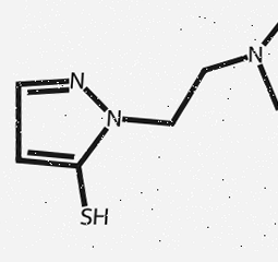 CN(C)CCn1nccc1S